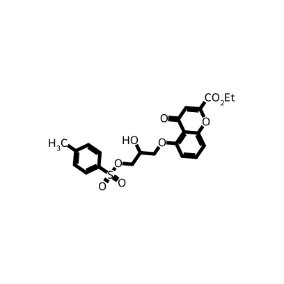 CCOC(=O)c1cc(=O)c2c(OCC(O)COS(=O)(=O)c3ccc(C)cc3)cccc2o1